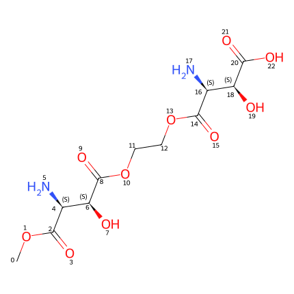 COC(=O)[C@@H](N)[C@H](O)C(=O)OCCOC(=O)[C@@H](N)[C@H](O)C(=O)O